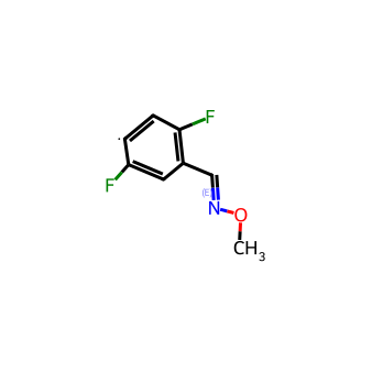 CO/N=C/c1cc(F)[c]cc1F